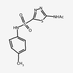 CC(=O)Nc1nnc(S(=O)(=O)Nc2ccc(C)cc2)s1